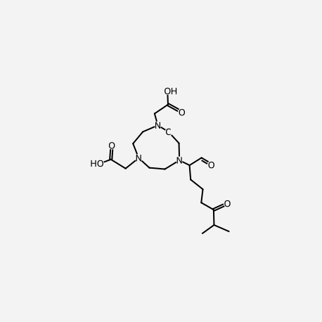 CC(C)C(=O)CCCC(C=O)N1CCN(CC(=O)O)CCN(CC(=O)O)CC1